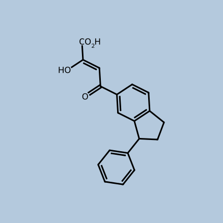 O=C(O)C(O)=CC(=O)c1ccc2c(c1)C(c1ccccc1)CC2